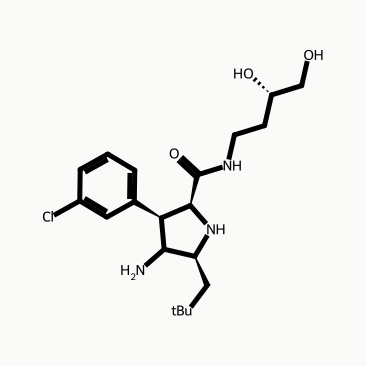 CC(C)(C)C[C@@H]1N[C@H](C(=O)NCC[C@H](O)CO)[C@H](c2cccc(Cl)c2)C1N